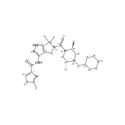 Cc1nc(C(=O)Nc2n[nH]c3c2CN(C(=O)N2C[C@@H](C)N(CC4CCOCC4)C[C@@H]2C)C3(C)C)cs1